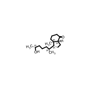 C[C@H](CCC[C@@H](C)O)[C@H]1CC[C@H]2C(=O)CCC[C@]12C